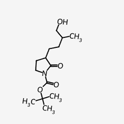 CC(CO)CCC1CCN(C(=O)OC(C)(C)C)C1=O